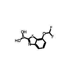 OB(O)c1nc2cccc(OC(F)F)c2s1